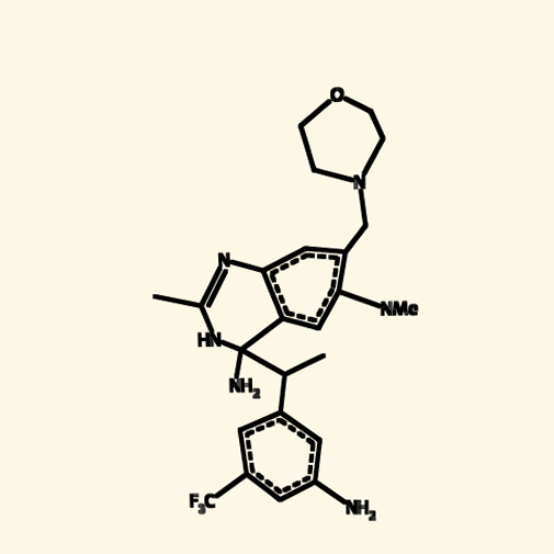 CNc1cc2c(cc1CN1CCOCC1)N=C(C)NC2(N)C(C)c1cc(N)cc(C(F)(F)F)c1